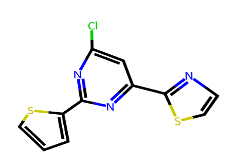 Clc1cc(-c2nccs2)nc(-c2cccs2)n1